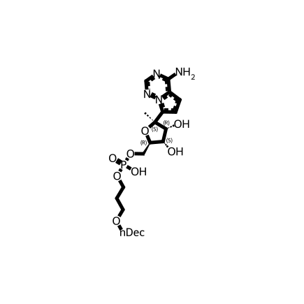 CCCCCCCCCCOCCCOP(=O)(O)OC[C@H]1O[C@@](C)(c2ccc3c(N)ncnn23)[C@H](O)[C@@H]1O